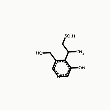 CC(CS(=O)(=O)O)c1c(O)cncc1CO